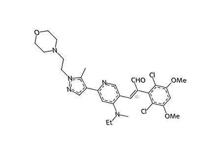 CCN(C)c1cc(-c2cnn(CCN3CCOCC3)c2C)ncc1/C=C(\C=O)c1c(Cl)c(OC)cc(OC)c1Cl